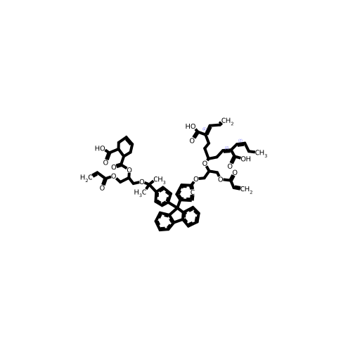 C=C/C=C(\CCC(C/C=C(/C=C\CC)C(=O)O)OC(COC(=O)C=C)COc1ccc(C2(c3ccc(C(C)(C)OCC(COC(=O)C=C)OC(=O)C4CC=CCC4C(=O)O)cc3)c3ccccc3-c3ccccc32)cc1)C(=O)O